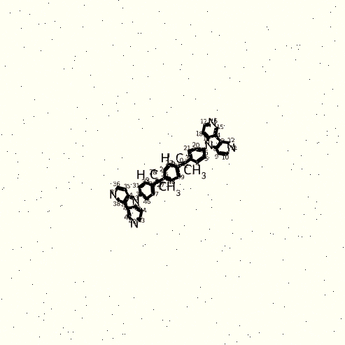 CC(C)(c1ccc(-n2c3ccncc3c3cnccc32)cc1)c1ccc(C(C)(C)c2ccc(-n3c4ccncc4c4cnccc43)cc2)cc1